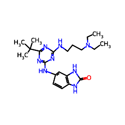 CCN(CC)CCCNc1nc(Nc2ccc3[nH]c(=O)[nH]c3c2)nc(C(C)(C)C)n1